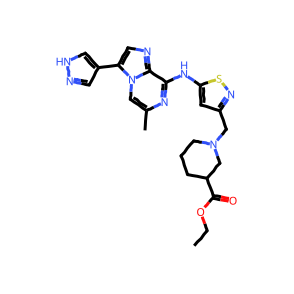 CCOC(=O)C1CCCN(Cc2cc(Nc3nc(C)cn4c(-c5cn[nH]c5)cnc34)sn2)C1